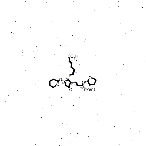 CCCCC[C@@H](/C=C/[C@H]1C(=O)C[C@H](OC2CCCCO2)[C@@H]1C/C=C\C/C=C/C(=O)O)OC1CCCCO1